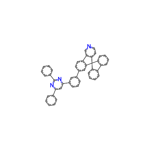 c1ccc(-c2cc(-c3cccc(-c4ccc5c(c4)C4(c6ccccc6-c6ccccc64)c4ccncc4-5)c3)nc(-c3ccccc3)n2)cc1